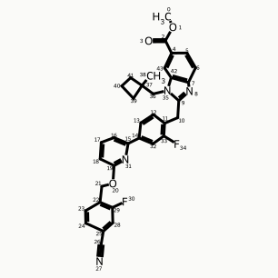 COC(=O)c1ccc2nc(Cc3ccc(-c4cccc(OCc5ccc(C#N)cc5F)n4)cc3F)n(CC3(C)CCC3)c2c1